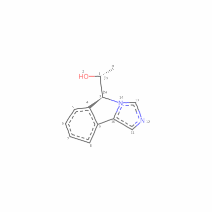 C[C@@H](O)[C@@H]1c2ccccc2-c2cncn21